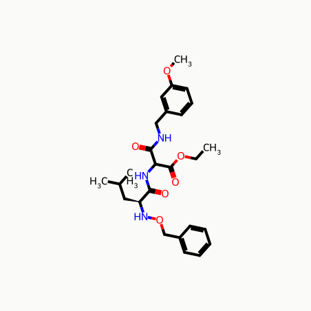 CCOC(=O)C(NC(=O)[C@H](CC(C)C)NOCc1ccccc1)C(=O)NCc1cccc(OC)c1